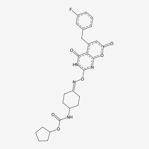 O=C(NC1CCC(=NOc2nc3oc(=O)cc(Cc4cccc(F)c4)c3c(=O)[nH]2)CC1)OC1CCCC1